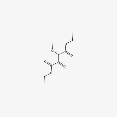 CCOC(=O)C(=O)C(OC)C(=O)OCC